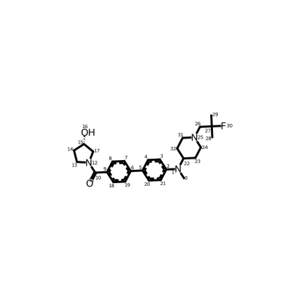 CN(c1ccc(-c2ccc(C(=O)N3CC[C@H](O)C3)cc2)cc1)C1CCN(CC(C)(C)F)CC1